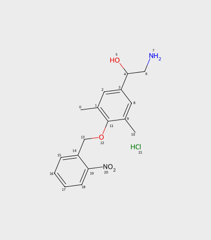 Cc1cc(C(O)CN)cc(C)c1OCc1ccccc1[N+](=O)[O-].Cl